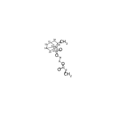 C=CC(=O)OCCOC(=O)C12CC3CC(CC(C)(C3)C1)C2